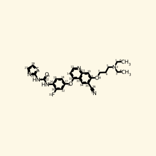 CCN(CC)CCCOc1cc2nccc(Oc3ccc(NC(=O)Nc4nccs4)c(F)c3)c2cc1C#N